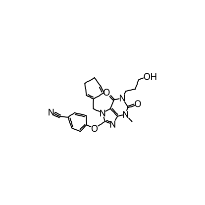 Cn1c(=O)n(CCCO)c(=O)c2c1nc(Oc1ccc(C#N)cc1)n2CC1=CCCC=C1